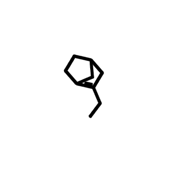 CCC1=C2CCC(C1)C2